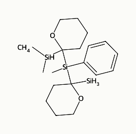 C.C[SiH](C)C1([Si](C)(c2ccccc2)C2([SiH3])CCCCO2)CCCCO1